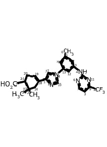 Cc1cc(Nc2nccc(C(F)(F)F)n2)cc(-n2cnc(C3=CCC(C(=O)O)C(C)(C)C3)c2)c1